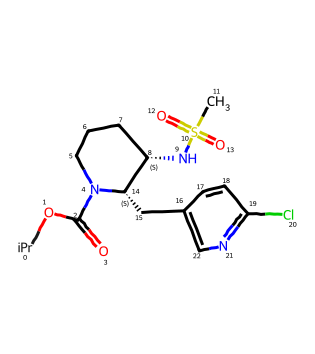 CC(C)OC(=O)N1CCC[C@H](NS(C)(=O)=O)[C@@H]1Cc1ccc(Cl)nc1